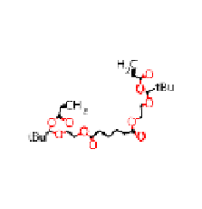 C=CC(=O)OC(OCCOC(=O)CCCCC(=O)OCCOC(OC(=O)C=C)C(C)(C)C)C(C)(C)C